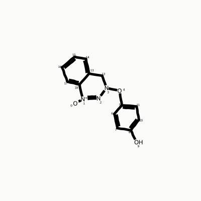 [O-][N+]1=NN(Oc2ccc(O)cc2)Cc2ccccc21